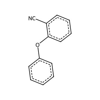 N#Cc1ccccc1Oc1ccccc1